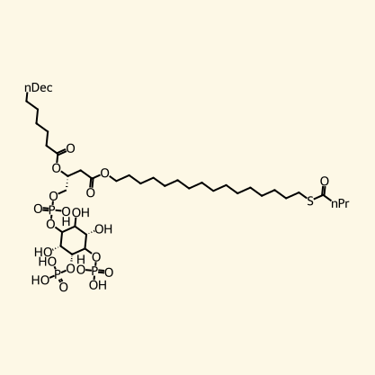 CCCCCCCCCCCCCCCC(=O)O[C@@H](COP(=O)(O)OC1C(O)[C@H](O)C(OP(=O)(O)O)[C@H](OP(=O)(O)O)[C@@H]1O)CC(=O)OCCCCCCCCCCCCCCCCSC(=O)CCC